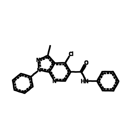 Cc1nn(-c2ccccc2)c2ncc(C(=O)Nc3ccccc3)c(Cl)c12